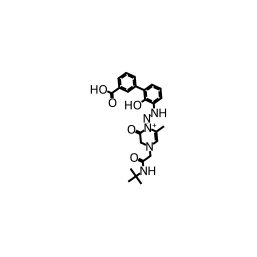 CC1=CN(CC(=O)NC(C)(C)C)CC(=O)[N+]1=NNc1cccc(-c2cccc(C(=O)O)c2)c1O